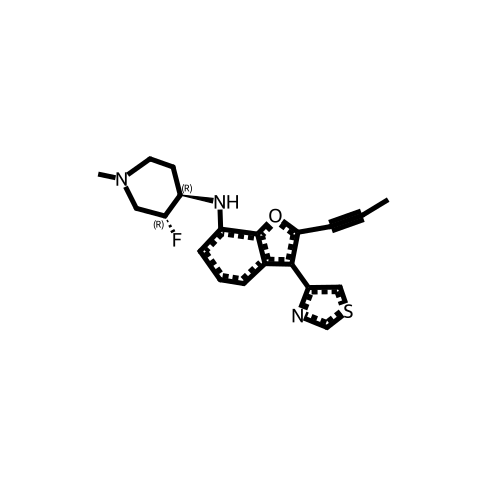 CC#Cc1oc2c(N[C@@H]3CCN(C)C[C@H]3F)cccc2c1-c1cscn1